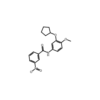 COc1ccc(NC(=O)c2cccc([N+](=O)[O-])c2)cc1OC1CCCC1